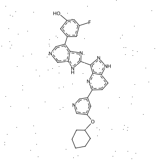 Oc1cc(F)cc(-c2cncc3[nH]c(-c4n[nH]c5ccc(-c6cncc(OC7CCCCC7)c6)nc45)nc23)c1